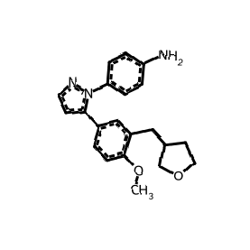 COc1ccc(-c2ccnn2-c2ccc(N)cc2)cc1CC1CCOC1